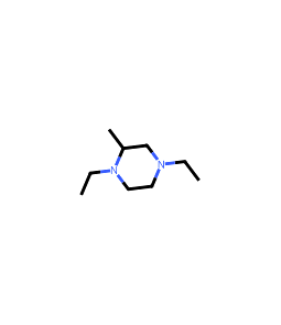 CCN1CCN(CC)C(C)C1